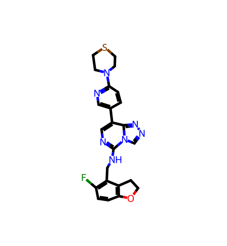 Fc1ccc2c(c1CNc1ncc(-c3ccc(N4CCSCC4)nc3)c3nncn13)CCO2